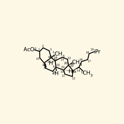 CC(=O)OC1CC[C@@]2(C)C(=CC[C@H]3[C@@H]4CC[C@H](C(C)CCCC(C)C)[C@@]4(C)CC[C@@H]32)C1